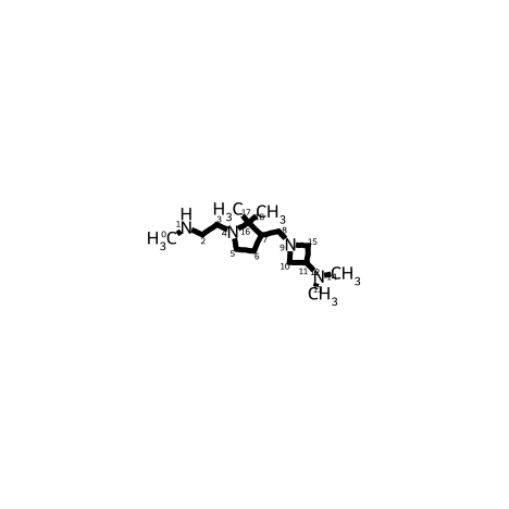 CNCCN1CCC(CN2CC(N(C)C)C2)C1(C)C